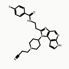 N#CCCN1CCC(n2c(CCNC(=O)c3ccc(F)cc3)nc3cnc4[nH]ccc4c32)CC1